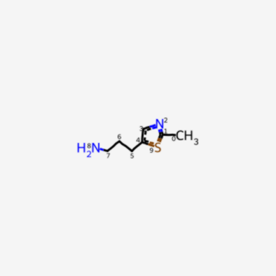 Cc1ncc(CCCN)s1